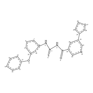 O=C(NC(=S)Nc1cccc(Oc2ccccc2)c1)c1cncc(-c2ccoc2)c1